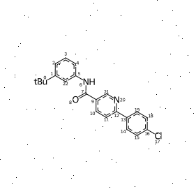 CC(C)(C)c1cccc(NC(=O)c2ccc(-c3ccc(Cl)cc3)nc2)c1